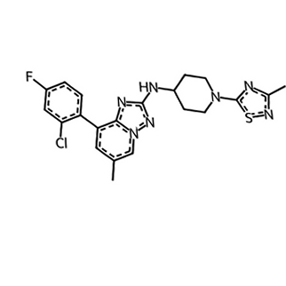 Cc1cc(-c2ccc(F)cc2Cl)c2nc(NC3CCN(c4nc(C)ns4)CC3)nn2c1